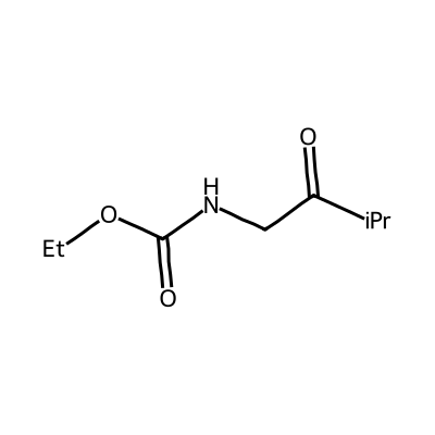 CCOC(=O)NCC(=O)C(C)C